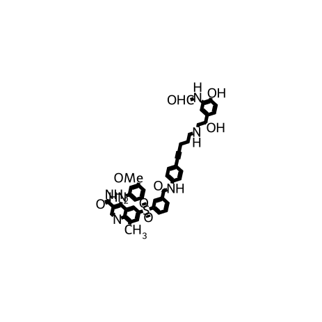 COc1cccc(Nc2c(C(N)=O)cnc3c(C)cc(S(=O)(=O)c4cccc(C(=O)Nc5ccc(C#CCCCNCC(O)c6ccc(O)c(NC=O)c6)cc5)c4)cc23)c1